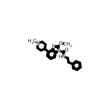 COc1nc2c(C3CCN(C)CC3)cccc2n1C(=O)NCCc1ccccc1